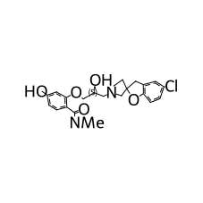 CNC(=O)c1ccc(O)cc1OC[C@@H](O)CN1CCC2(Cc3cc(Cl)ccc3O2)C1